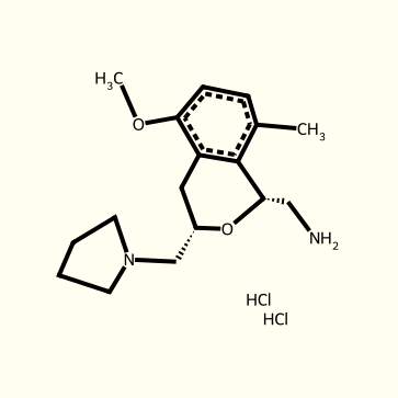 COc1ccc(C)c2c1C[C@@H](CN1CCCC1)O[C@H]2CN.Cl.Cl